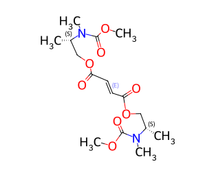 COC(=O)N(C)[C@@H](C)COC(=O)/C=C/C(=O)OC[C@H](C)N(C)C(=O)OC